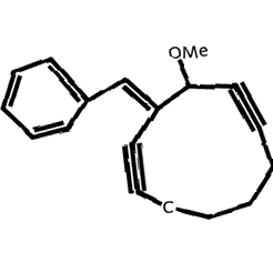 COC1C#CCCCCC#C/C1=C\c1ccccc1